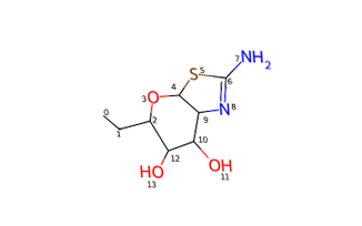 CCC1OC2SC(N)=NC2C(O)C1O